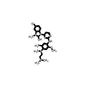 COc1cc(N(C)CCN(C)C)c(N)cc1Nc1nccc(N2c3ccc(Cl)cc3N(C)C2O)n1